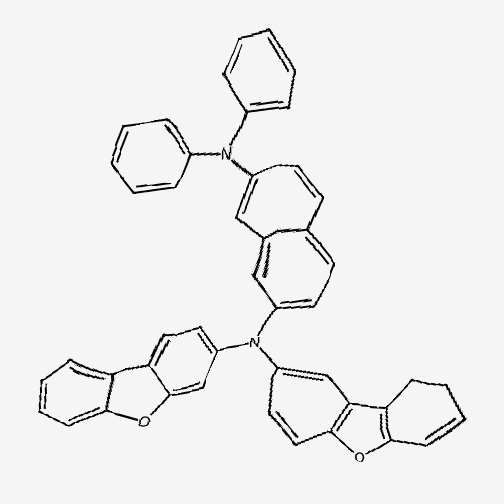 C1=Cc2oc3ccc(N(c4ccc5ccc(N(c6ccccc6)c6ccccc6)cc5c4)c4ccc5c(c4)oc4ccccc45)cc3c2CC1